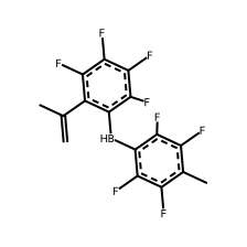 C=C(C)c1c(F)c(F)c(F)c(F)c1Bc1c(F)c(F)c(C)c(F)c1F